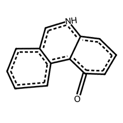 O=c1cccc2[nH]cc3ccccc3c1-2